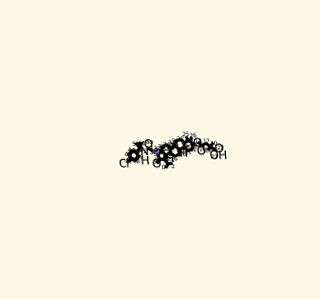 CC(C)C1=C2[C@H]3CC[C@@H]4[C@@]5(C)CC[C@H](OC(=O)CC(C)(C)C(=O)O)C(C)(C)C5CC[C@@]4(C)[C@]3(C)CC[C@@]2(/C=C/C(=O)NC2(c3ccc(Cl)cc3)CC2)CC1=O